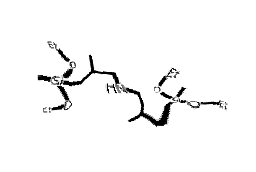 CCO[Si](C)(CC(C)CNCC(C)C[Si](C)(OCC)OCC)OCC